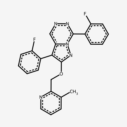 Cc1cccnc1COc1nn2c(-c3ccccc3F)nncc2c1-c1ccccc1F